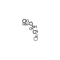 O=C(Nc1ccc(Cl)c(Nc2ccccc2)c1)c1ccc(CN2CCCCC2)nc1